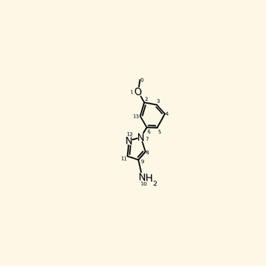 COc1cccc(-n2cc(N)cn2)c1